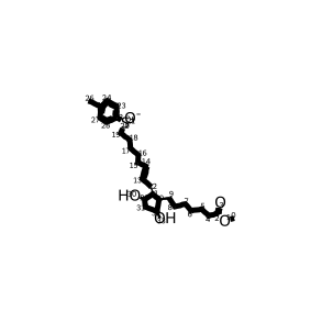 COC(=O)CCCCCC[C@@H]1[C@@H](C/C=C/CCCCC[S+]([O-])c2ccc(C)cc2)[C@H](O)C[C@@H]1O